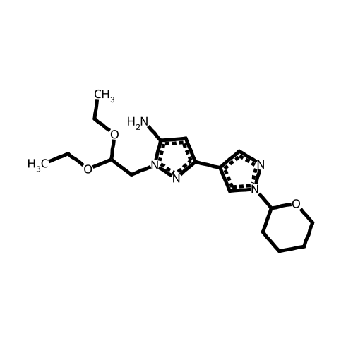 CCOC(Cn1nc(-c2cnn(C3CCCCO3)c2)cc1N)OCC